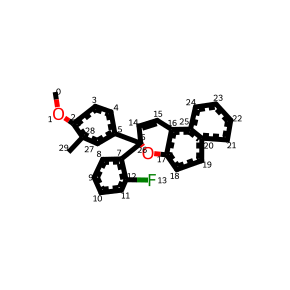 COc1ccc(C2(c3ccccc3F)C=Cc3c(ccc4ccccc34)O2)cc1C